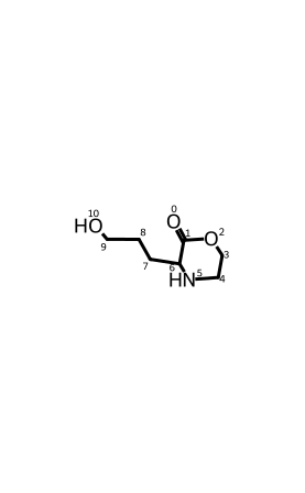 O=C1OCCNC1CCCO